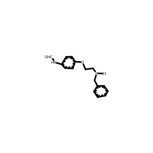 CCN(CCOc1ccc(NC=O)cc1)Cc1ccccc1